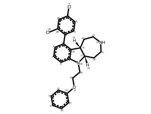 Clc1ccc(-c2cccc3c2[C@@H]2CCNCC[C@@H]2N3CCOc2ccccc2)c(Cl)c1